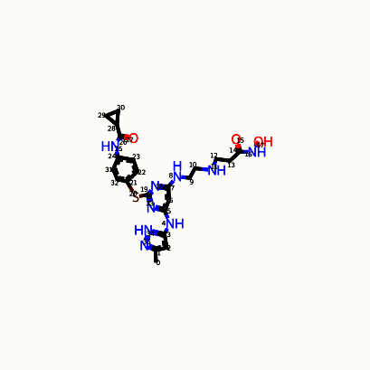 Cc1cc(Nc2cc(NCCNCCC(=O)NO)nc(Sc3ccc(NC(=O)C4CC4)cc3)n2)[nH]n1